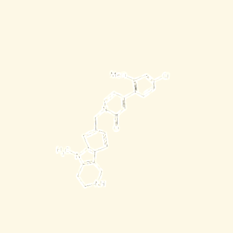 COc1cc(Cl)ccc1-c1ccn(Cc2ccc3c4c(n(C)c3c2)CCNC4)c(=O)c1